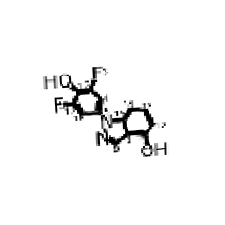 Oc1c(F)cc(-n2ncc3c(O)cccc32)cc1F